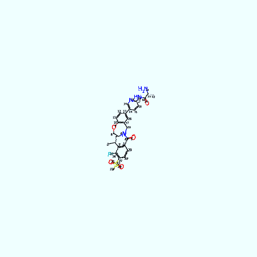 CCc1c(C(=O)N2CCOc3ccc(-c4ccc(NC(=O)[C@@H](C)N)nc4)cc3C2)ccc(S(C)(=O)=O)c1F